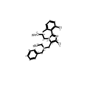 CCc1cccc(C)c1-c1nc(Cl)c(CN(Cc2ccccc2)CC(C)(C)C)n1CCOC